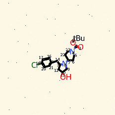 CC(C)(C)OC(=O)N1CCC(N2CC(O)CC2Cc2ccc(Cl)cc2)CC1